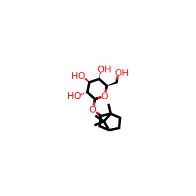 CC1(C)C2CCC1(C)C(OC1O[C@H](CO)[C@@H](O)[C@H](O)[C@H]1O)C2